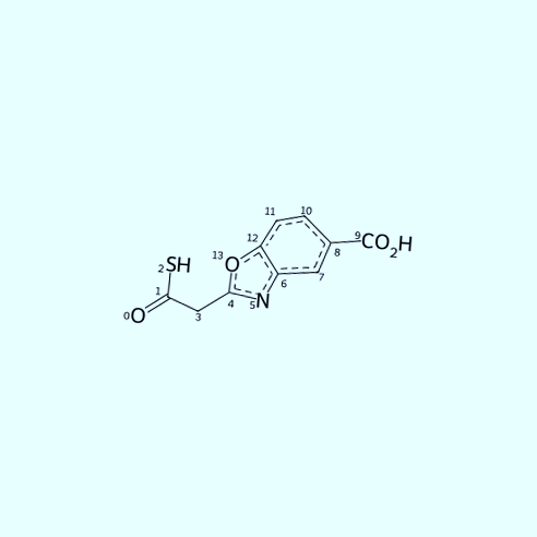 O=C(S)Cc1nc2cc(C(=O)O)ccc2o1